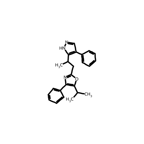 CC(C)c1oc(CC(C)c2[nH]ncc2-c2ccccc2)nc1-c1ccccc1